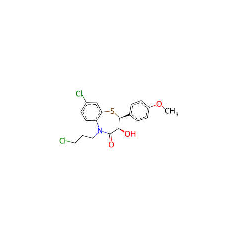 COc1ccc([C@@H]2Sc3cc(Cl)ccc3N(CCCCl)C(=O)[C@@H]2O)cc1